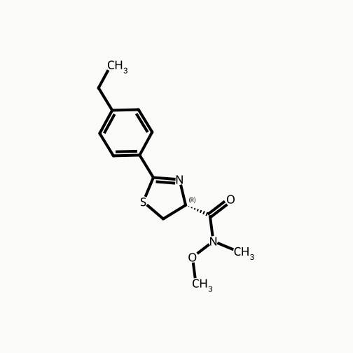 CCc1ccc(C2=N[C@H](C(=O)N(C)OC)CS2)cc1